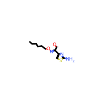 CCCCCCON=C([C]=O)c1csc(N)n1